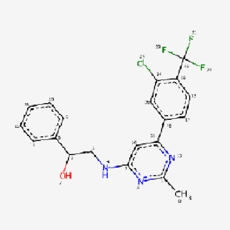 Cc1nc(NCC(O)c2ccccc2)cc(-c2ccc(C(F)(F)F)c(Cl)c2)n1